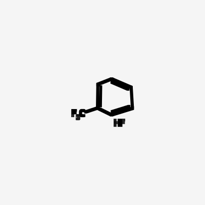 F.FC(F)(F)c1ccccc1